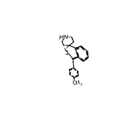 Cc1ccc(C2SC3(CCNCC3)c3ccccc32)cc1